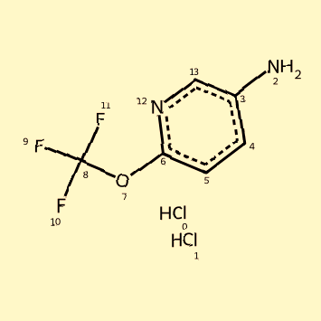 Cl.Cl.Nc1ccc(OC(F)(F)F)nc1